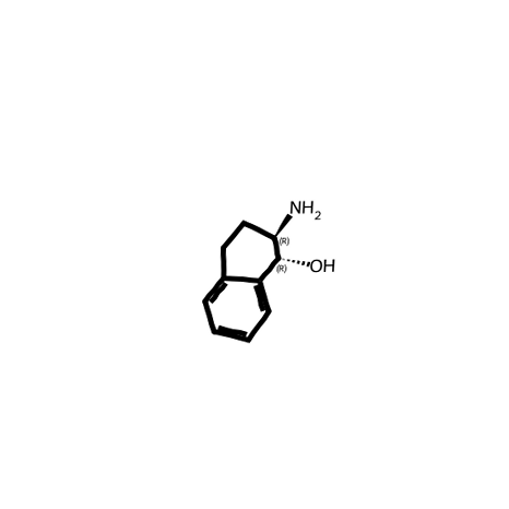 N[C@@H]1CCc2ccccc2[C@H]1O